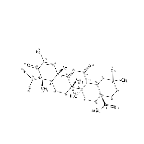 COC(=O)[C@]12CCC(C)(C)CC1C1C(=O)C=C3[C@@]4(C)C=C(C#N)C(=O)[C@@](C)(C(F)F)C4CC[C@@]3(C)[C@]1(C)CC2